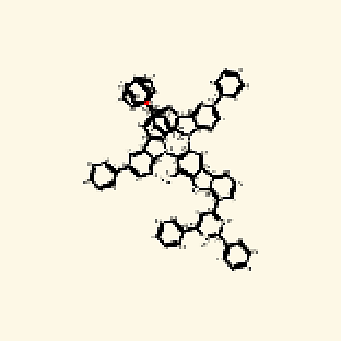 N#Cc1c(-n2c3ccc(-c4ccccc4)cc3c3cc(-c4ccccc4)ccc32)c(-n2c3ccc(-c4ccccc4)cc3c3cc(-c4ccccc4)ccc32)cc2c1oc1c(-c3cc(-c4ccccc4)nc(-c4ccccc4)n3)cccc12